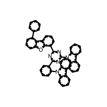 c1ccc(-c2cccc3oc4c(-c5nc(-c6ccccc6-n6c7ccccc7c7ccccc76)nc(-n6c7ccccc7c7ccccc76)n5)cccc4c23)cc1